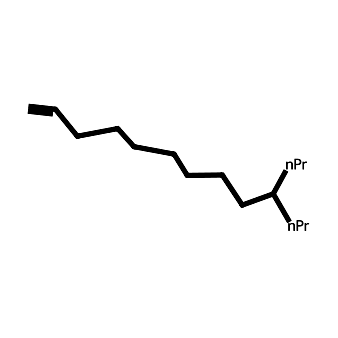 C=CCCCCCCCC(CCC)CCC